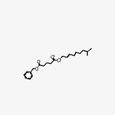 CC(C)CCCCCCCOC(=O)CCCC(=O)OCc1ccccc1